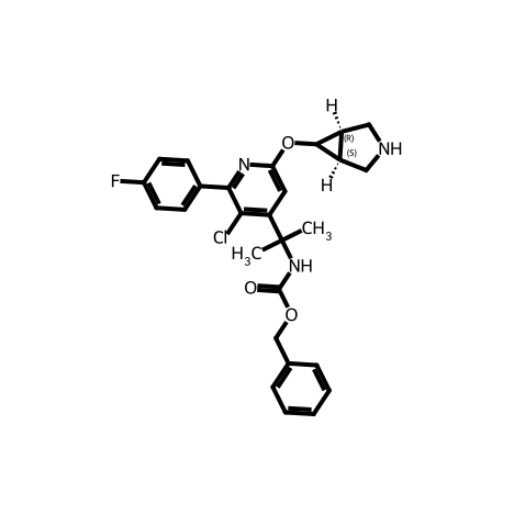 CC(C)(NC(=O)OCc1ccccc1)c1cc(OC2[C@H]3CNC[C@@H]23)nc(-c2ccc(F)cc2)c1Cl